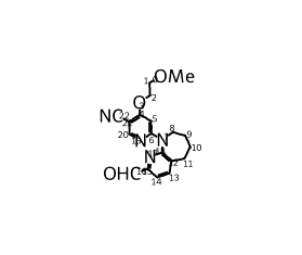 COCCOc1cc(N2CCCCc3ccc(C=O)nc32)ncc1C#N